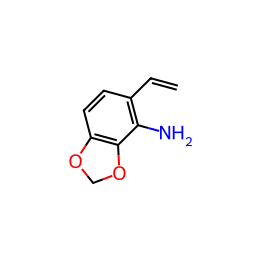 C=Cc1ccc2c(c1N)OCO2